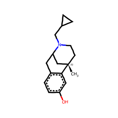 C[C@@]12CCN(CC3CC3)C(Cc3ccc(O)cc31)C2